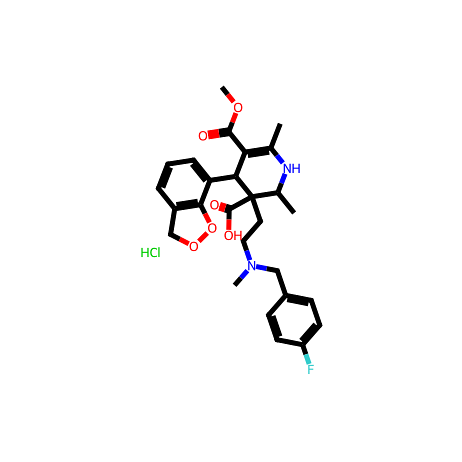 COC(=O)C1=C(C)NC(C)C(CCN(C)Cc2ccc(F)cc2)(C(=O)O)C1c1cccc2c1OOC2.Cl